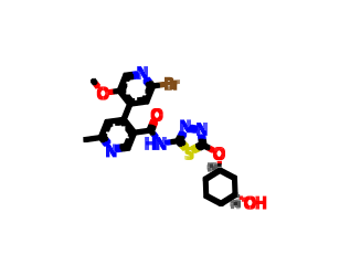 COc1cnc(Br)cc1-c1cc(C)ncc1C(=O)Nc1nnc(O[C@H]2CCC[C@@H](O)C2)s1